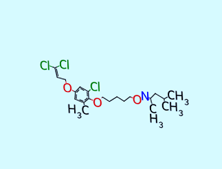 C/C(CC(C)C)=N\OCCCCCOc1c(C)cc(OCC=C(Cl)Cl)cc1Cl